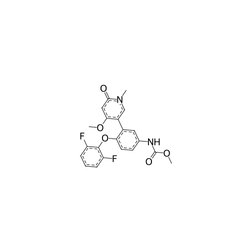 COC(=O)Nc1ccc(Oc2c(F)cccc2F)c(-c2cn(C)c(=O)cc2OC)c1